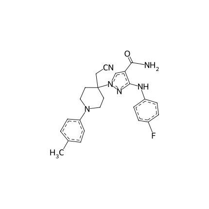 Cc1ccc(N2CCC(CC#N)(n3cc(C(N)=O)c(Nc4ccc(F)cc4)n3)CC2)cc1